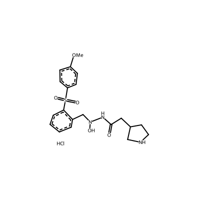 COc1ccc(S(=O)(=O)c2ccccc2CN(O)NC(=O)CC2CCNC2)cc1.Cl